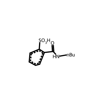 CCCCNC(=O)c1ccccc1S(=O)(=O)O